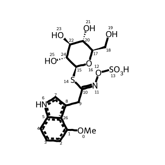 COc1cccc2[nH]cc(CC(=NOS(=O)(=O)O)S[C@@H]3O[C@H](CO)[C@@H](O)[C@H](O)[C@H]3O)c12